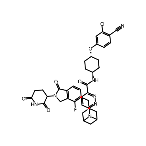 N#Cc1ccc(O[C@H]2CC[C@H](NC(=O)c3ccc(N4C5CC4CN(Cc4ccc6c(c4F)CN(C4CCC(=O)NC4=O)C6=O)C5)nn3)CC2)cc1Cl